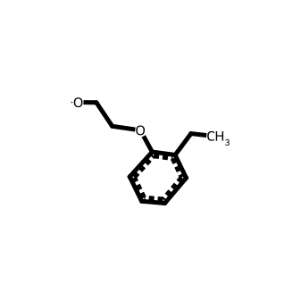 CCc1ccccc1OCC[O]